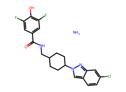 N.O=C(NCC1CCC(n2cc3ccc(Cl)cc3n2)CC1)c1cc(F)c(O)c(F)c1